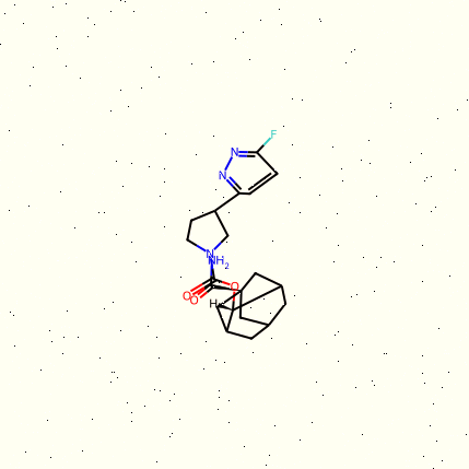 NC(=O)[C@]12CC3CC(C1)[C@@H](OC(=O)N1CCC(c4ccc(F)nn4)C1)C(C3)C2